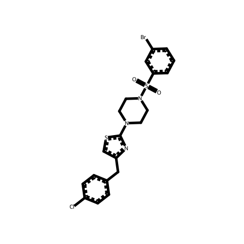 O=S(=O)(c1cccc(Br)c1)N1CCN(c2nc(Cc3ccc(Cl)cc3)cs2)CC1